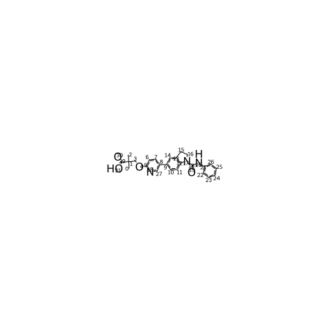 CC(C)(COc1ccc(-c2ccc3c(c2)CCN3C(=O)Nc2ccccc2)cn1)C(=O)O